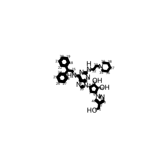 OCc1cnn(C2C[C@H](n3cnc4c(NCC(c5ccccc5)c5ccccc5)nc(NCCN5CCCCC5)nc43)[C@H](O)[C@@H]2O)c1